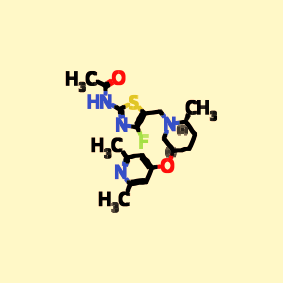 CC(=O)Nc1nc(F)c(CN2C[C@H](Oc3cc(C)nc(C)c3)CC[C@@H]2C)s1